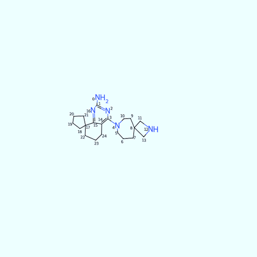 Nc1nc(N2CCCC3(CC2)CNC3)c2c(n1)C1(CCCC1)CCC2